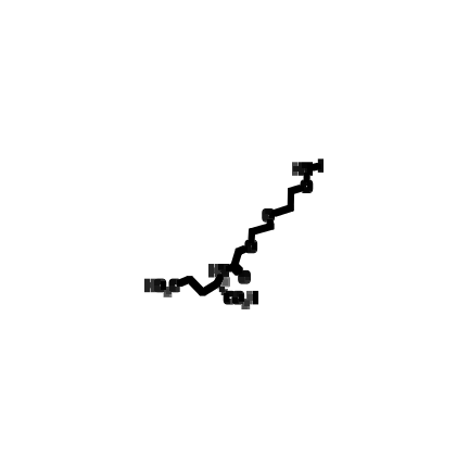 O=C(O)CC[C@H](NC(=O)COCCOCCONI)C(=O)O